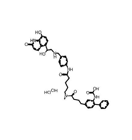 CN(CCCCC(=O)Nc1ccc(CNCC(O)c2ccc(O)c3[nH]c(=O)ccc23)cc1)C(=O)CCCc1ccc(-c2ccccc2)c(NC(=O)O)c1.Cl.Cl